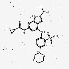 CS(=O)(=O)c1cc([C@@H]2COCCO2)ccc1Nc1cc(NC(=O)C2CC2)nc2[nH]c(C(F)F)nc12